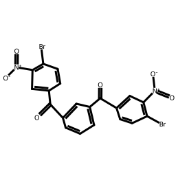 O=C(c1cccc(C(=O)c2ccc(Br)c([N+](=O)[O-])c2)c1)c1ccc(Br)c([N+](=O)[O-])c1